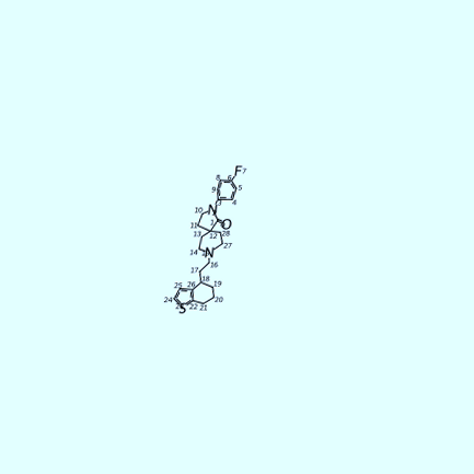 O=C1N(c2ccc(F)cc2)CCC12CCN(CCC1CCCc3sccc31)CC2